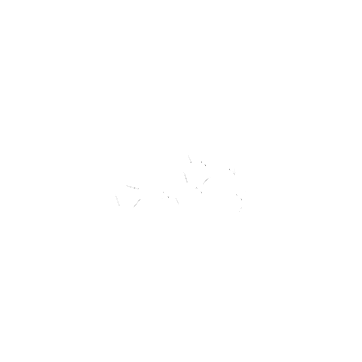 CC(=O)N(C)CC1c2nc(C(=O)NCc3ccc(F)cc3)c(O)c(=O)n2CCN1C